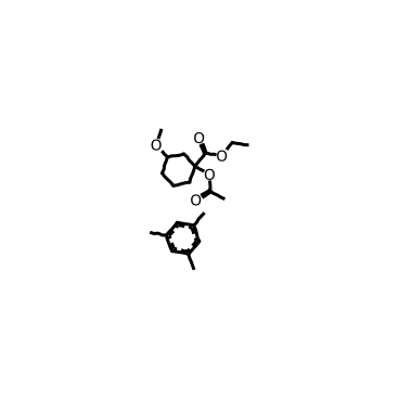 CCOC(=O)C1(OC(C)=O)CCCC(OC)C1.Cc1cc(C)cc(C)c1